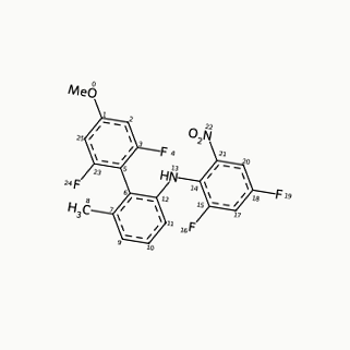 COc1cc(F)c(-c2c(C)cccc2Nc2c(F)cc(F)cc2[N+](=O)[O-])c(F)c1